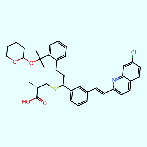 C[C@H](CS[C@@H](CCc1ccccc1C(C)(C)OC1CCCCO1)c1cccc(C=Cc2ccc3ccc(Cl)cc3n2)c1)C(=O)O